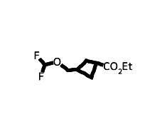 CCOC(=O)C1CC(COC(F)F)C1